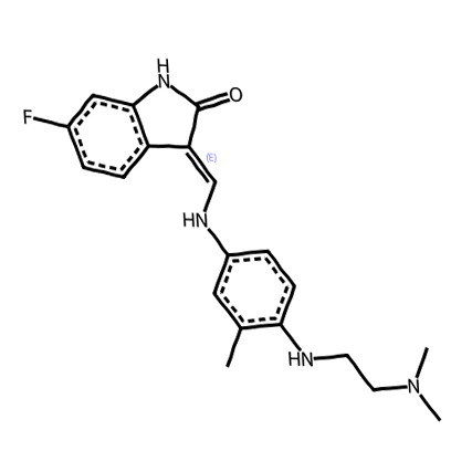 Cc1cc(N/C=C2/C(=O)Nc3cc(F)ccc32)ccc1NCCN(C)C